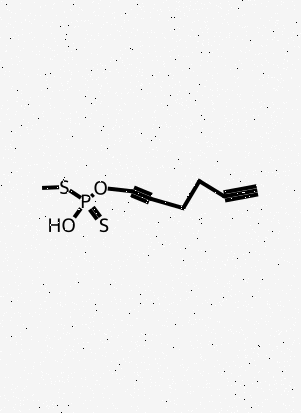 C#CCCC#COP(O)(=S)SC